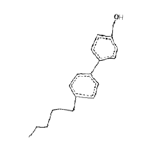 CCCCCc1ccc(-c2ccc(O)cc2)cc1